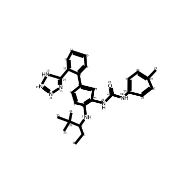 CCC(Nc1ccc(-c2ccccc2-c2nnn[nH]2)cc1NC(=O)Nc1ccc(C)cc1)C(C)(C)C